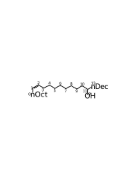 CCCCCCCC/C=C\CCCCCCCCC(O)CCCCCCCCCC